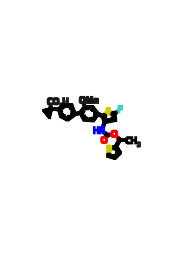 COc1cc(-c2sc(F)cc2NC(=O)OC(C)c2cccs2)ccc1-c1ccc(C2(C(=O)O)CC2)cc1